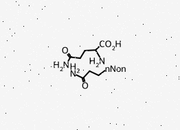 CCCCCCCCCCCC(N)=O.NC(=O)CCC(N)C(=O)O